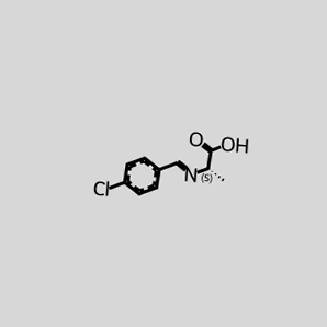 C[C@H](N=Cc1ccc(Cl)cc1)C(=O)O